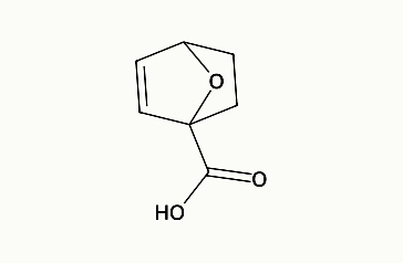 O=C(O)C12C=CC(CC1)O2